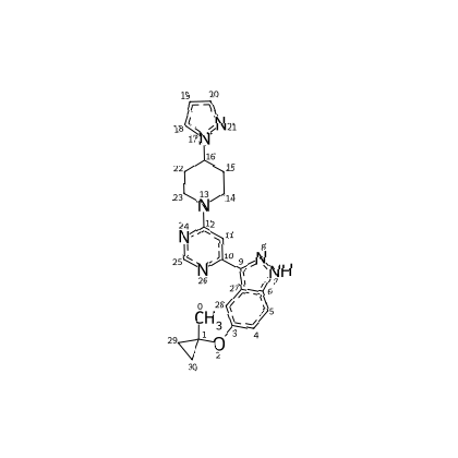 CC1(Oc2ccc3[nH]nc(-c4cc(N5CCC(n6cccn6)CC5)ncn4)c3c2)CC1